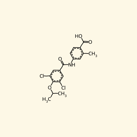 Cc1cc(NC(=O)c2cc(Cl)c(OC(C)C)c(Cl)c2)ccc1C(=O)O